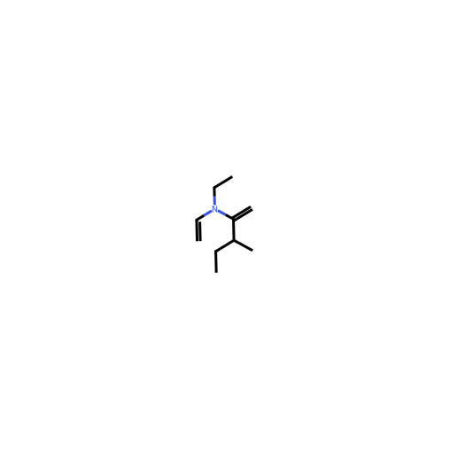 C=CN(CC)C(=C)C(C)CC